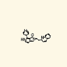 O=c1c2c(-c3ccncc3)[nH]ccc-2cn1CCc1ccc2ccccc2n1